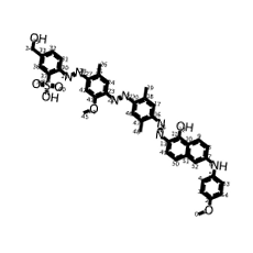 COc1ccc(Nc2ccc3c(O)c(N=Nc4cc(C)c(N=Nc5cc(C)c(N=Nc6ccc(CO)cc6S(=O)(=O)O)cc5OC)cc4C)ccc3c2)cc1